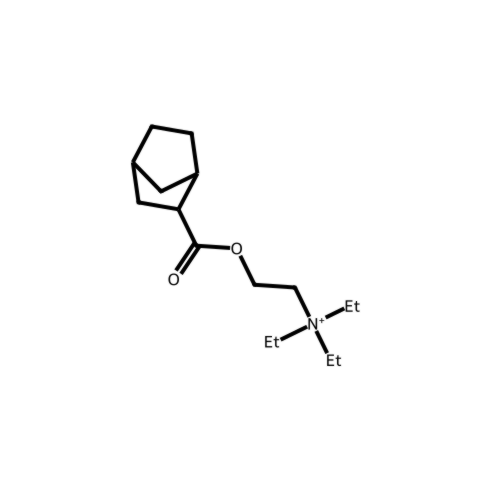 CC[N+](CC)(CC)CCOC(=O)C1CC2CCC1C2